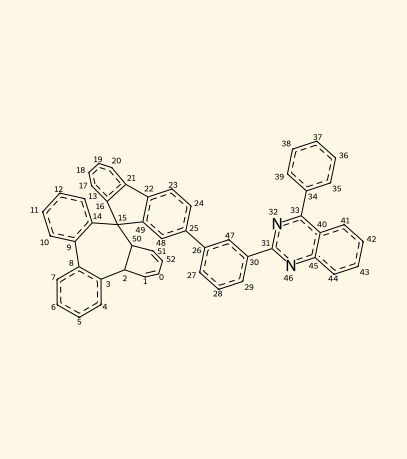 C1=CC2c3ccccc3-c3ccccc3C3(c4ccccc4-c4ccc(-c5cccc(-c6nc(-c7ccccc7)c7ccccc7n6)c5)cc43)C2C=C1